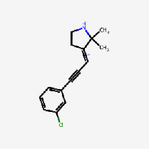 CC1(C)NCC/C1=C\C#Cc1cccc(Cl)c1